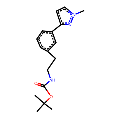 Cn1ccc(-c2cccc(CCNC(=O)OC(C)(C)C)c2)n1